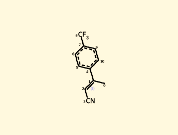 C/C(=C\C#N)c1ccc(C(F)(F)F)cc1